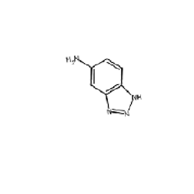 Nc1ccc2[nH]nnc2c1